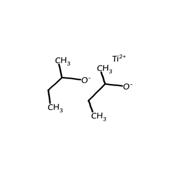 CCC(C)[O-].CCC(C)[O-].[Ti+2]